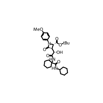 COc1ccc(N2C(=O)[C@H]([C@H](O)C(=O)NC3(C(=O)NC4CCCCC4)CCCCC3)[C@H]2C(=O)OC(C)(C)C)cc1